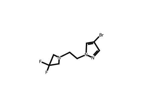 FC1(F)CN(CCn2cc(Br)cn2)C1